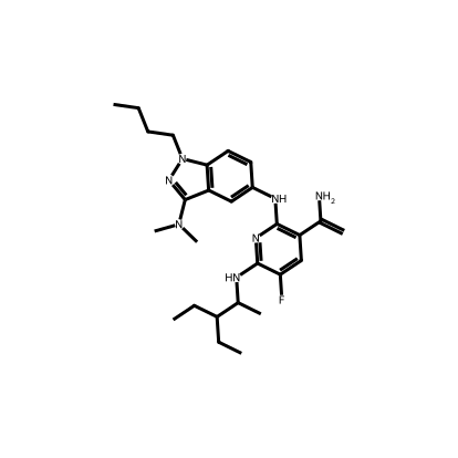 C=C(N)c1cc(F)c(NC(C)C(CC)CC)nc1Nc1ccc2c(c1)c(N(C)C)nn2CCCC